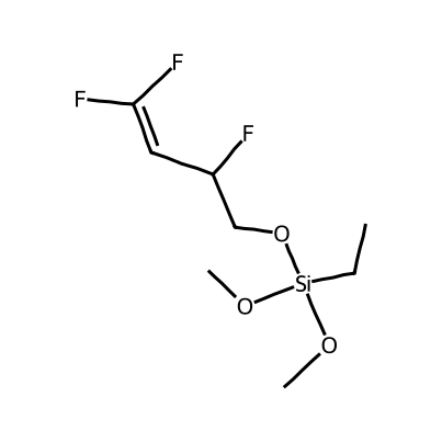 CC[Si](OC)(OC)OCC(F)C=C(F)F